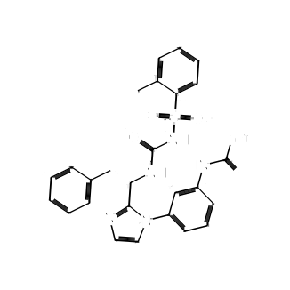 CCCC(=O)Nc1cccc(-n2ccnc2[C@H](Cc2ccccc2)NC(=O)NS(=O)(=O)c2ccccc2C)c1